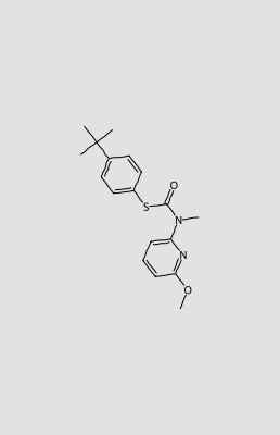 COc1cccc(N(C)C(=O)Sc2ccc(C(C)(C)C)cc2)n1